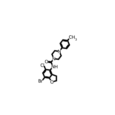 Cc1ccc(N2CCN(C(=O)Nc3c(Cl)cc(Br)c4c3CCO4)CC2)cc1